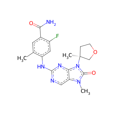 Cc1cc(C(N)=O)c(F)cc1Nc1ncc2c(n1)n([C@@]1(C)CCOC1)c(=O)n2C